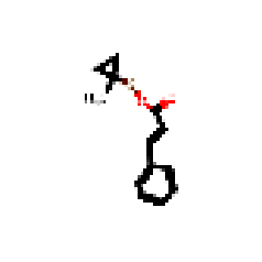 CC1(SOC(=O)C=Cc2ccccc2)CC1